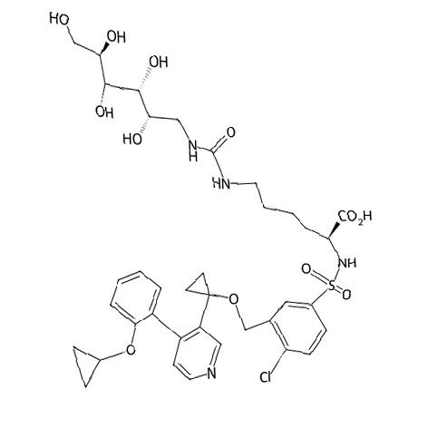 O=C(NCCCC[C@H](NS(=O)(=O)c1ccc(Cl)c(COC2(c3cnccc3-c3ccccc3OC3CC3)CC2)c1)C(=O)O)NC[C@H](O)[C@@H](O)C(O)[C@H](O)CO